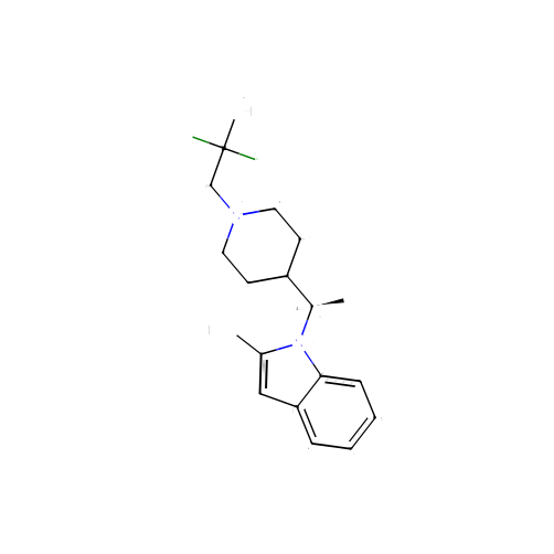 Cc1cc2ccccc2n1[C@H](C)C1CCN(CC(C)(F)F)CC1